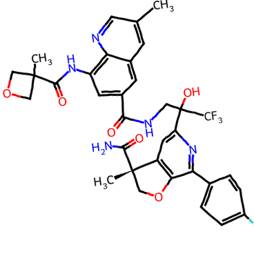 Cc1cnc2c(NC(=O)C3(C)COC3)cc(C(=O)NCC(O)(c3cc4c(c(-c5ccc(F)cc5)n3)OC[C@]4(C)C(N)=O)C(F)(F)F)cc2c1